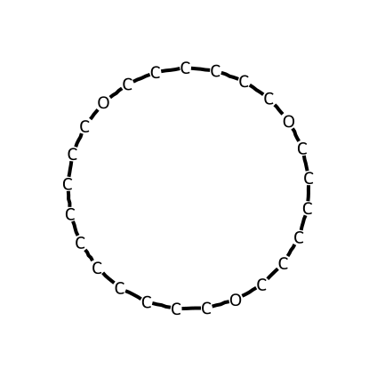 C1CCCCCOCCCCCCOCCCCCCOCCCC1